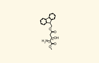 COC(=O)[C@@H](N)[C@H](O)CC(=O)OCC1c2ccccc2-c2ccccc21